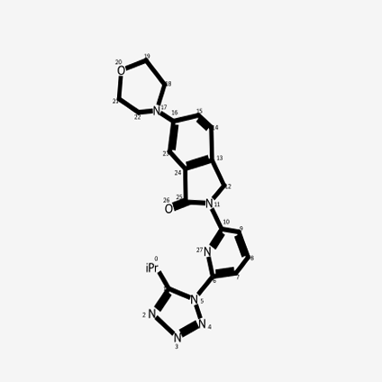 CC(C)c1nnnn1-c1cccc(N2Cc3ccc(N4CCOCC4)cc3C2=O)n1